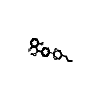 CCC[C@H]1CO[C@H](c2ccc(C(OC)c3c(F)cccc3F)cc2)OC1